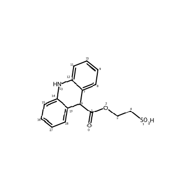 O=C(OCCS(=O)(=O)O)C1c2ccccc2Nc2ccccc21